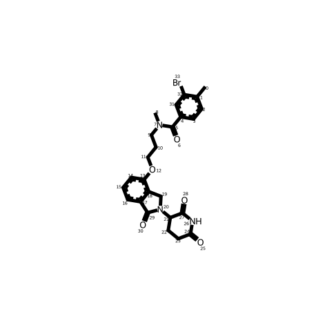 Cc1ccc(C(=O)N(C)CCCOc2cccc3c2CN(C2CCC(=O)NC2=O)C3=O)cc1Br